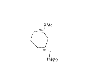 CNC[C@@H]1CCC[C@H](NC)C1